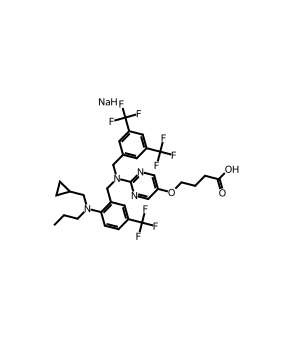 CCCN(CC1CC1)c1ccc(C(F)(F)F)cc1CN(Cc1cc(C(F)(F)F)cc(C(F)(F)F)c1)c1ncc(OCCCC(=O)O)cn1.[NaH]